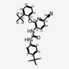 CC(C)(C)c1ccc(NC(=O)Nc2ccc(C#N)nc2Oc2ccccc2C(C)(C)C)cc1